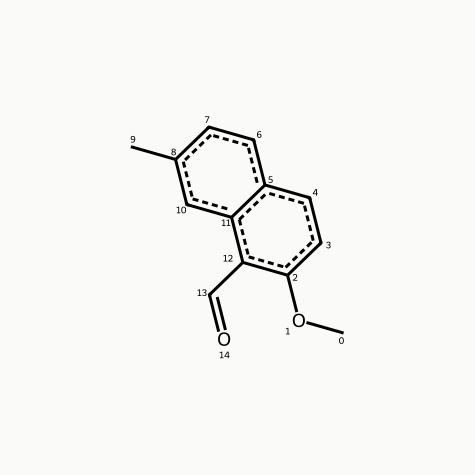 COc1ccc2ccc(C)cc2c1C=O